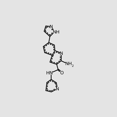 Nc1nc2cc(-c3ccn[nH]3)ccc2cc1C(=O)Nc1cccnc1